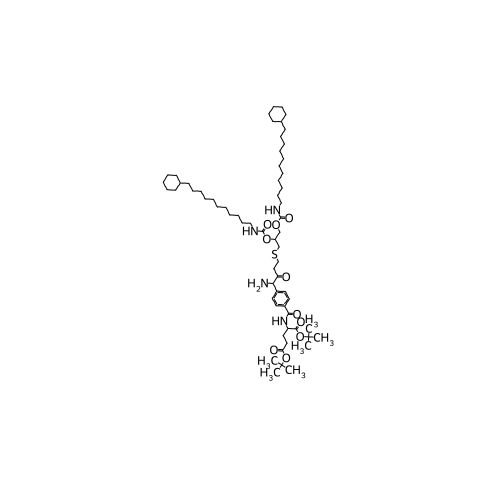 CC(C)(C)OC(=O)CCC(NC(=O)c1ccc(C(N)C(=O)CCSCC(COC(=O)NCCCCCCCCCCCC2CCCCC2)OC(=O)NCCCCCCCCCCCC2CCCCC2)cc1)C(=O)OC(C)(C)C